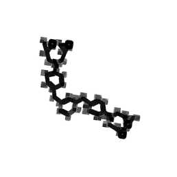 c1cc(Cc2ccc(N(CC3CO3)CC3CO3)cc2)cc(Cc2ccc(N(CC3CO3)CC3CO3)cc2)c1